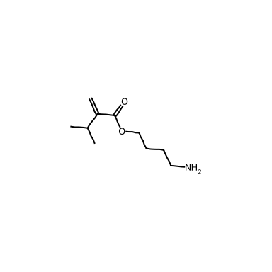 C=C(C(=O)OCCCCN)C(C)C